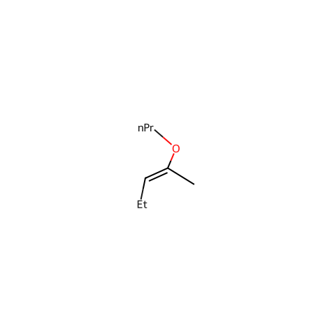 [CH2]CCOC(C)=CCC